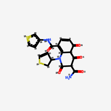 NC(=O)C1C(=O)C2C(=O)C=CC(C(=O)Nc3ccsc3)=C2N(C2C=CSC2)C1=O